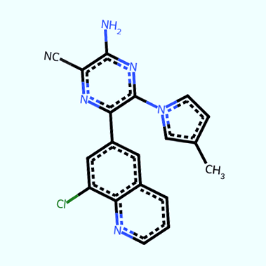 Cc1ccn(-c2nc(N)c(C#N)nc2-c2cc(Cl)c3ncccc3c2)c1